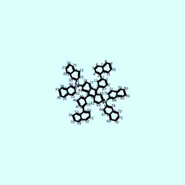 c1cc(-c2cccc3ccccc23)cc(-c2c3ccc(N(c4ccc5ccccc5c4)c4ccc5ccccc5c4)cc3c(-c3cccc(-c4cccc5ccccc45)c3)c3ccc(N(c4ccc5ccccc5c4)c4ccc5ccccc5c4)cc23)c1